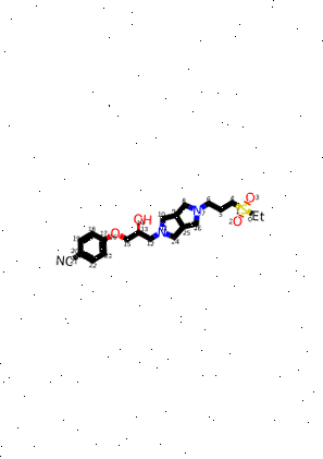 CCS(=O)(=O)CCCN1CC2CN(C[C@H](O)COc3ccc(C#N)cc3)CC2C1